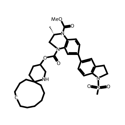 COC(=O)N1c2ccc(-c3ccc4c(c3)CCN4S(C)(=O)=O)cc2N(C(=O)OC2CCC3(CCCCCCCCCC3)NC2)C[C@@H]1C